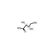 O=C(O)[C@H](O)[C@@H](O)CO